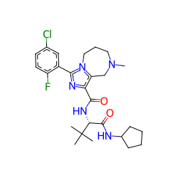 CN1CCCn2c(-c3cc(Cl)ccc3F)nc(C(=O)N[C@H](C(=O)NC3CCCC3)C(C)(C)C)c2C1